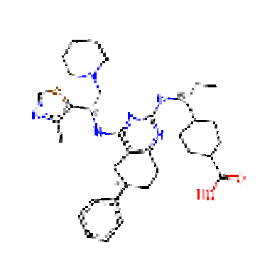 CC[C@@H](Nc1nc2c(c(N[C@@H](CN3CCCCC3)c3scnc3C)n1)C[C@H](c1ccccc1)CC2)C1CCC(C(=O)O)CC1